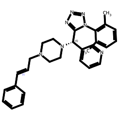 Cc1cccc(C)c1-n1nnnc1[C@H](c1cccnc1)N1CCN(C/C=C/c2ccccc2)CC1